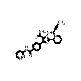 CC#CCN1CCCC[C@H]1c1nc(-c2ccc(C(=O)Nc3cccnn3)cc2)c(C(N)=O)n1N